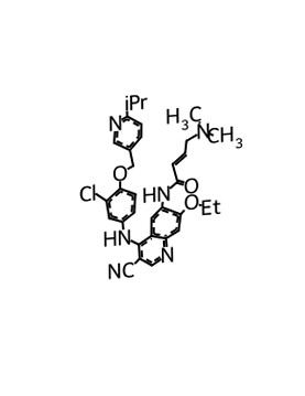 CCOc1cc2ncc(C#N)c(Nc3ccc(OCc4ccc(C(C)C)nc4)c(Cl)c3)c2cc1NC(=O)/C=C/CN(C)C